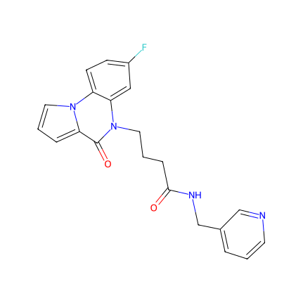 O=C(CCCn1c(=O)c2cccn2c2ccc(F)cc21)NCc1cccnc1